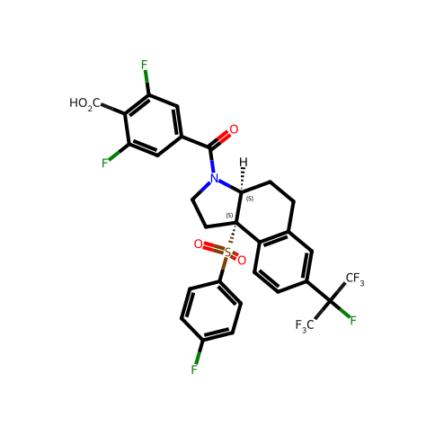 O=C(O)c1c(F)cc(C(=O)N2CC[C@]3(S(=O)(=O)c4ccc(F)cc4)c4ccc(C(F)(C(F)(F)F)C(F)(F)F)cc4CC[C@H]23)cc1F